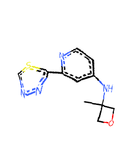 CC1(Nc2ccnc(-c3nncs3)c2)COC1